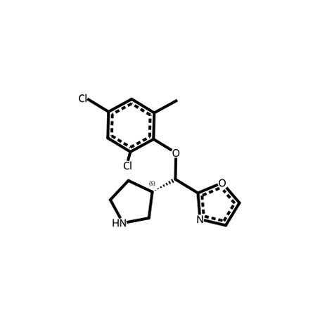 Cc1cc(Cl)cc(Cl)c1OC(c1ncco1)[C@H]1CCNC1